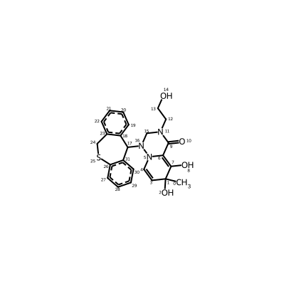 CC1(O)C=CN2C(=C1O)C(=O)N(CCO)CN2C1c2ccccc2CSc2ccccc21